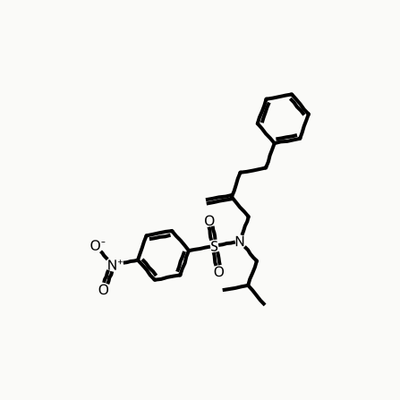 C=C(CCc1ccccc1)CN(CC(C)C)S(=O)(=O)c1ccc([N+](=O)[O-])cc1